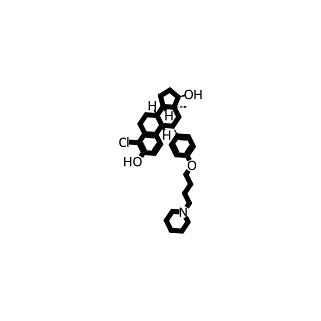 C[C@]12C[C@H](c3ccc(OCCCCN4CCCCC4)cc3)[C@@H]3c4ccc(O)c(Cl)c4CC[C@H]3[C@@H]1CC[C@@H]2O